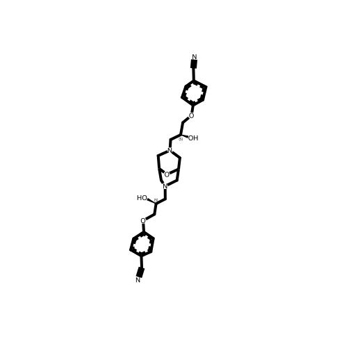 N#Cc1ccc(OC[C@@H](O)CN2CC3CN(C[C@H](O)COc4ccc(C#N)cc4)CC(C2)O3)cc1